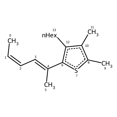 C/C=C\C=C(/C)c1sc(C)c(C)c1CCCCCC